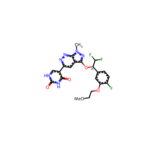 COCCOc1cc([C@@H](Oc2nn(C)c3nnc(-c4c[nH]c(=O)[nH]c4=O)cc23)C(F)F)ccc1F